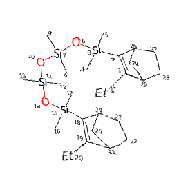 CCC1=C([Si](C)(C)O[Si](C)(C)O[Si](C)(C)O[Si](C)(C)C2=C(CC)C3CCC2C3)C2CCC1C2